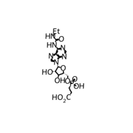 CCNC(=O)Nc1ncnc2c1ncn2[C@@H]1O[C@H](COP(=O)(O)CCC(=O)O)C(O)[C@@H]1O